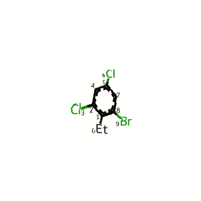 [CH2]Cc1c(Cl)cc(Cl)cc1Br